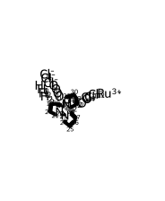 O.O.O.O.O.O.[Cl-].[Cl-].[Cl-].[Cl-].[Cl-].[Cl-].[Ru+3].c1cc[n+](-c2cccc[n+]2-[n+]2ccccc2)cc1